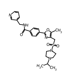 Cc1oc(-c2ccc(C(=O)NCc3cccnc3)cc2)nc1CS(=O)(=O)N1CCN(C(C)C)CC1